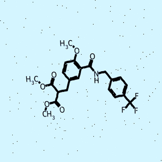 COC(=O)C(Cc1ccc(OC)c(C(=O)NCc2ccc(C(F)(F)F)cc2)c1)C(=O)OC